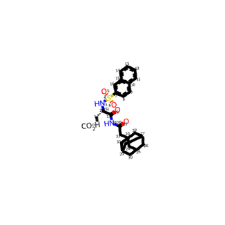 O=C(O)C[C@H](NS(=O)(=O)c1ccc2ccccc2c1)C(=O)NC(=O)CC12CC3CC(CC(C3)C1)C2